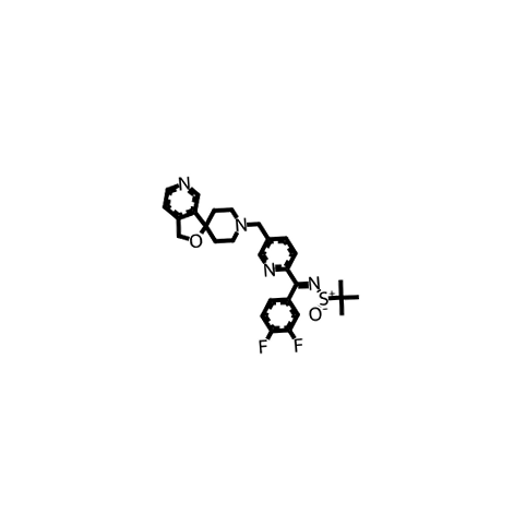 CC(C)(C)[S+]([O-])N=C(c1ccc(F)c(F)c1)c1ccc(CN2CCC3(CC2)OCc2ccncc23)cn1